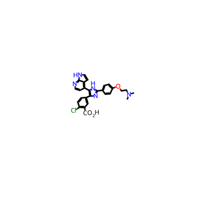 CN(C)CCOc1ccc(-c2nc(-c3ccc(Cl)c(C(=O)O)c3)c(-c3ccnc4[nH]ccc34)[nH]2)cc1